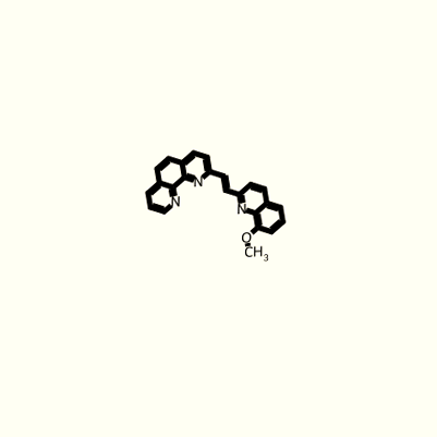 COc1cccc2ccc(C=Cc3ccc4ccc5cccnc5c4n3)nc12